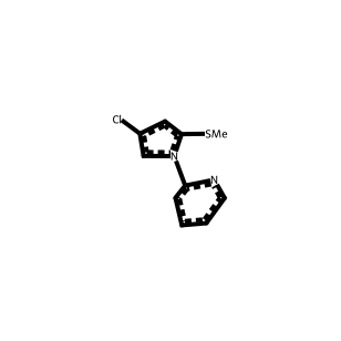 CSc1cc(Cl)cn1-c1ccccn1